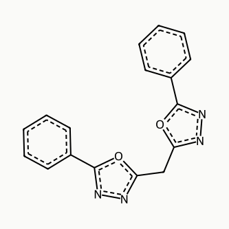 c1ccc(-c2nnc(Cc3nnc(-c4ccccc4)o3)o2)cc1